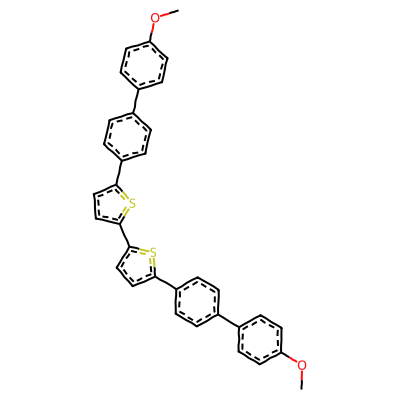 COc1ccc(-c2ccc(-c3ccc(-c4ccc(-c5ccc(-c6ccc(OC)cc6)cc5)s4)s3)cc2)cc1